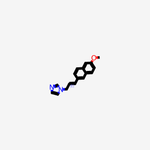 COc1ccc2cc(/C=C/Cn3ccnc3)ccc2c1